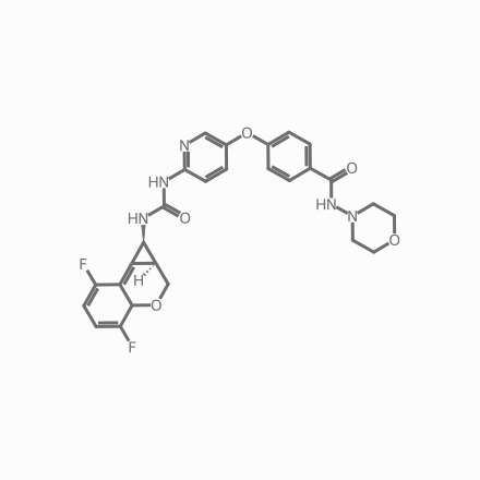 O=C(Nc1ccc(Oc2ccc(C(=O)NN3CCOCC3)cc2)cn1)N[C@@H]1C2=C3C(F)=CC=C(F)C3OC[C@@H]21